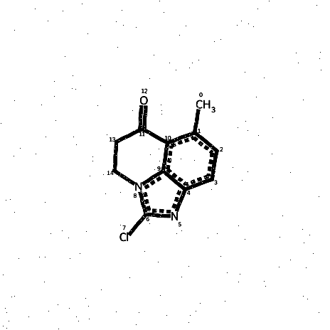 Cc1ccc2nc(Cl)n3c2c1C(=O)CC3